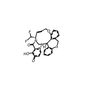 O=C1c2c(O)c(=O)ccn2N2CN1[C@@H](C(F)F)/C=C/COc1cccc3c1[C@@H]2c1ccccc1SC3